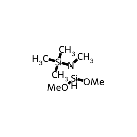 CO[SiH](OC)N(C)[Si](C)(C)C